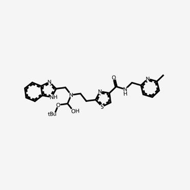 Cc1cccc(CNC(=O)c2csc(CCN(Cc3nc4ccccc4[nH]3)C(O)OC(C)(C)C)n2)n1